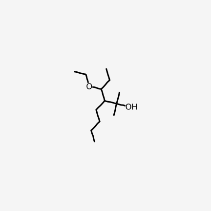 CCCCC(C(CC)OCC)C(C)(C)O